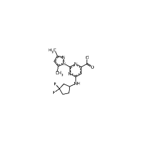 Cc1cc(C)n(-c2nc(NC3CCC(F)(F)C3)cc(C(=O)Cl)n2)n1